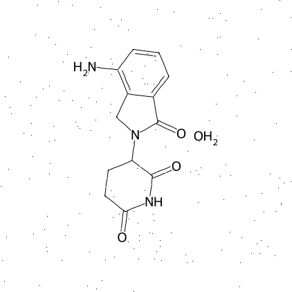 Nc1cccc2c1CN(C1CCC(=O)NC1=O)C2=O.O